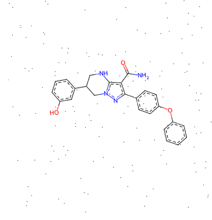 NC(=O)c1c(-c2ccc(Oc3ccccc3)cc2)nn2c1NCC(c1cccc(O)c1)C2